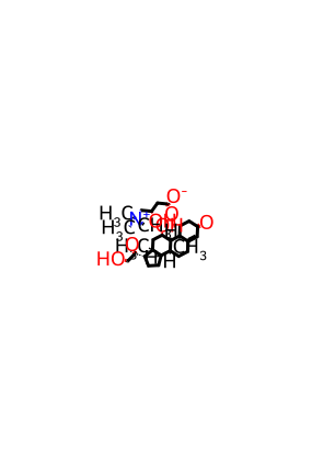 C[C@]12C[C@H](O)[C@H]3[C@@H](CCC4=CC(=O)CC[C@@]43C)[C@@H]1CC[C@@H]2C(=O)CO.C[N+](C)(C)C[C@H](O)CC(=O)[O-]